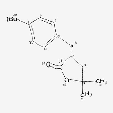 CC1(C)CC(Sc2ccc(C(C)(C)C)cc2)C(=O)O1